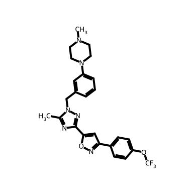 Cc1nc(-c2cc(-c3ccc(OC(F)(F)F)cc3)no2)nn1Cc1cccc(N2CCN(C)CC2)c1